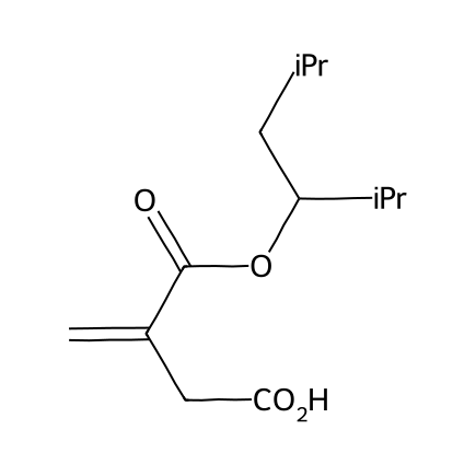 C=C(CC(=O)O)C(=O)OC(CC(C)C)C(C)C